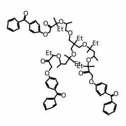 CCC(OC(C)CC(C)(CC)OCC(CC)(COCC(C)OC(C)(CC)C(=O)COc1ccc(C(=O)c2ccccc2)cc1)COC(C)(CC)CC(C)OC(C)(CC)C(=O)COc1ccc(C(=O)c2ccccc2)cc1)C(=O)COc1ccc(C(=O)c2ccccc2)cc1